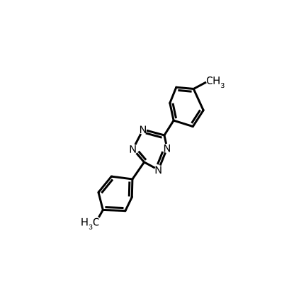 Cc1ccc(-c2nnc(-c3ccc(C)cc3)nn2)cc1